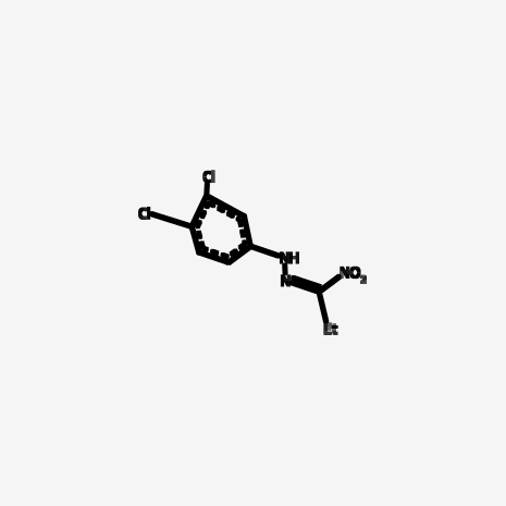 CCC(=NNc1ccc(Cl)c(Cl)c1)[N+](=O)[O-]